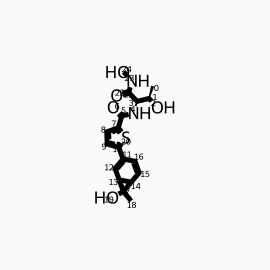 C[C@@H](O)[C@H](NC(=O)c1ccc(C2=CC3C(C=C2)C3(C)O)s1)C(=O)NO